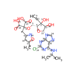 C#C[C@@]1(O)[C@@H](COC(Cc2cc(C)on2)(C(=O)O)C(=O)O)O[C@@H](n2cnc3c(NC(C)C)nc(Cl)nc32)[C@@H]1O